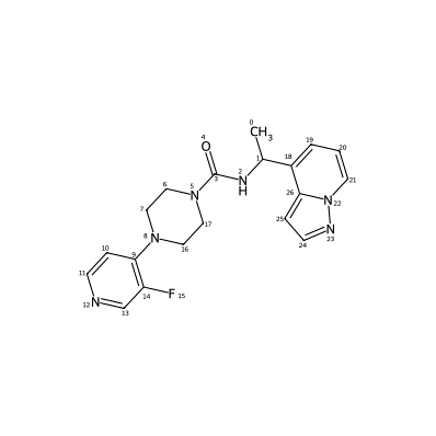 CC(NC(=O)N1CCN(c2ccncc2F)CC1)c1cccn2nccc12